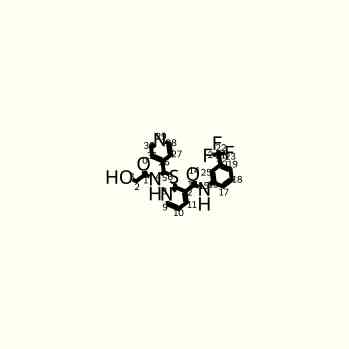 O=C(CO)NC(Sc1ncccc1C(=O)Nc1cccc(C(F)(F)F)c1)c1ccncc1